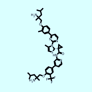 CC1=CS[C@@H](C2(C(=O)Nc3cc(-c4ccc(OCC(C)(N)CC(C)C)c(C(F)(F)F)c4)ccn3)CC2)N1c1nccc(-c2ccc(OCC(C)(N)CC(C)C)c(C)c2)n1